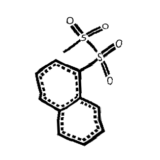 CS(=O)(=O)S(=O)(=O)c1cccc2ccccc12